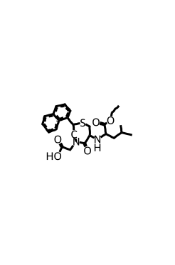 CCOC(=O)C(CC(C)C)NC1CSC(c2cccc3ccccc23)CN(CC(=O)O)C1=O